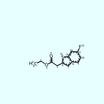 CCOC(=O)Cc1cc2ccc(F)cc2s1